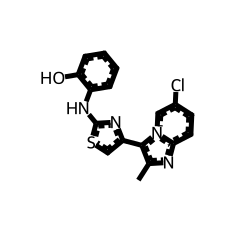 Cc1nc2ccc(Cl)cn2c1-c1csc(Nc2ccccc2O)n1